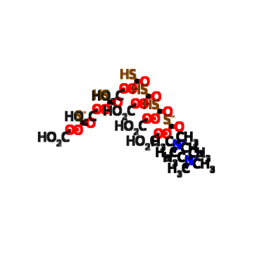 C[N+](C)(C)C.C[N+](C)(C)C.O=C(O)OOC(=O)S.O=C(O)OOC(=O)S.O=C(O)OOC(=O)S.O=C(O)OOC(=O)S.O=C(O)OOC(=O)[S-].O=C(O)OOC(=O)[S-]